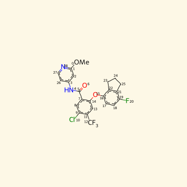 COc1cc(NC(=O)c2cc(Cl)c(C(F)(F)F)cc2Oc2ccc(F)c3c2CCC3)ccn1